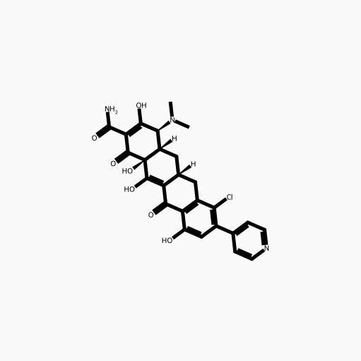 CN(C)[C@@H]1C(O)=C(C(N)=O)C(=O)[C@@]2(O)C(O)=C3C(=O)c4c(O)cc(-c5ccncc5)c(Cl)c4C[C@H]3C[C@@H]12